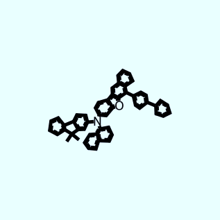 CC1(C)c2ccccc2-c2ccc(N(c3ccc4c(c3)oc3c(-c5ccc(-c6ccccc6)cc5)c5ccccc5cc34)c3cccc4ccccc34)cc21